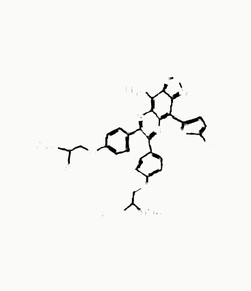 CCCCCCCCCCC(CCCCCCCC)COc1ccc(-c2nc3c(C)c4nsnc4c(-c4ccc(C)s4)c3nc2-c2ccc(OCC(CCCCCCCC)CCCCCCCCCC)cc2)cc1